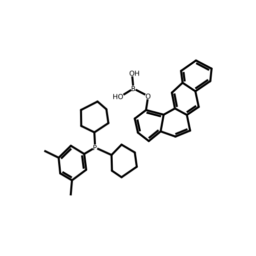 Cc1cc(C)cc(P(C2CCCCC2)C2CCCCC2)c1.OB(O)Oc1cccc2ccc3cc4ccccc4cc3c12